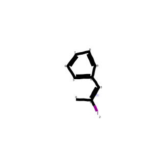 C/C(I)=C\c1ccccc1